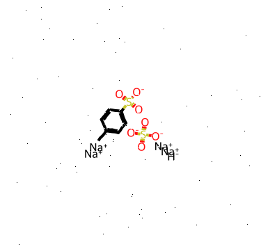 Cc1ccc(S(=O)(=O)[O-])cc1.O=S(=O)([O-])[O-].[H-].[Na+].[Na+].[Na+].[Na+]